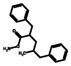 CC(Cc1ccccc1)CC(Cc1ccccc1)C(=O)ON